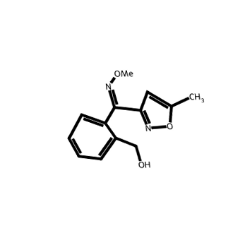 CON=C(c1cc(C)on1)c1ccccc1CO